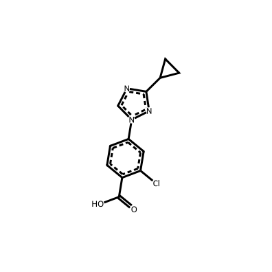 O=C(O)c1ccc(-n2cnc(C3CC3)n2)cc1Cl